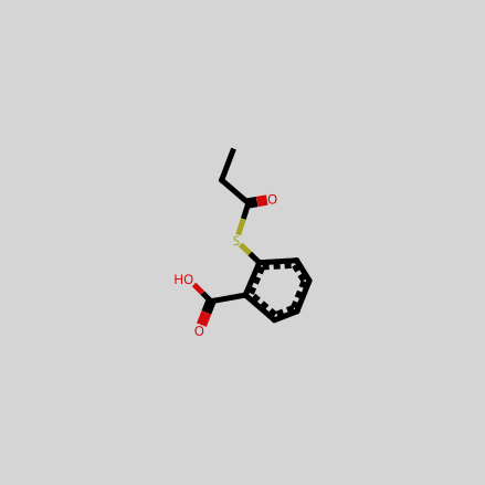 CCC(=O)Sc1ccccc1C(=O)O